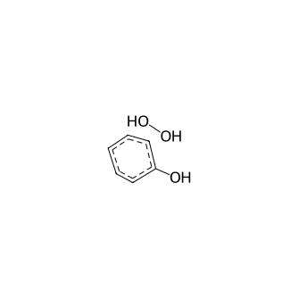 OO.Oc1ccccc1